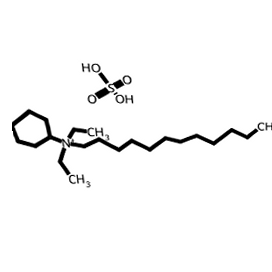 CCCCCCCCCCCC[N+](CC)(CC)C1CCCCC1.O=S(=O)(O)O